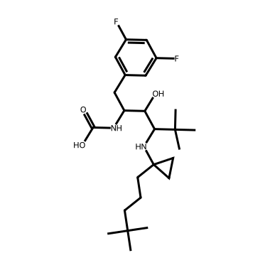 CC(C)(C)CCCC1(NC(C(O)C(Cc2cc(F)cc(F)c2)NC(=O)O)C(C)(C)C)CC1